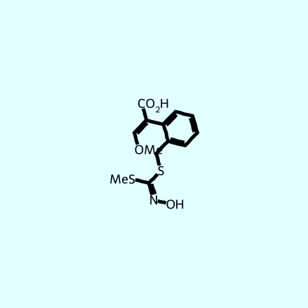 CO/C=C(/C(=O)O)c1ccccc1CS/C(=N\O)SC